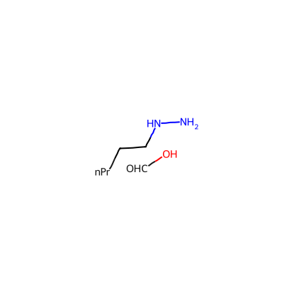 CCCCCNN.O=CO